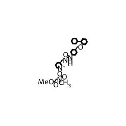 COC(=O)CN(C)C(=O)OC[n+]1cccc(CNC(=O)Nc2ccc(COc3ccccc3-c3ccccc3)cc2)c1